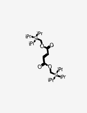 CC(C)[Si](COC(=O)/C=C/C(=O)OC[Si](C(C)C)(C(C)C)C(C)C)(C(C)C)C(C)C